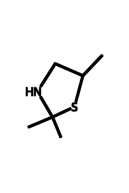 CC1CNC(C)(C)S1